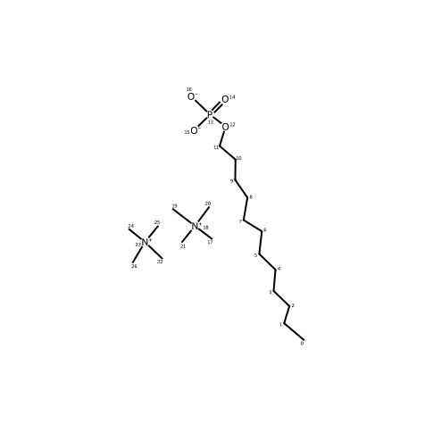 CCCCCCCCCCCCOP(=O)([O-])[O-].C[N+](C)(C)C.C[N+](C)(C)C